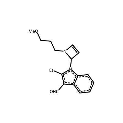 CCc1c(C=O)c2ccccc2n1C1C=CN1CCCOC